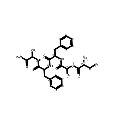 COC(=O)C(C)NC(=O)C(Cc1ccccc1)NC(=O)C(Cc1ccccc1)NC(=O)C(NC(=O)[C@@H](N)CC(C)C)C(C)C